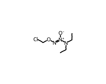 CCN(CC)[N+]([O-])=NOCCl